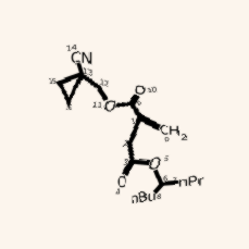 C=C(CC(=O)OC(CCC)CCCC)C(=O)OCC1(C#N)CC1